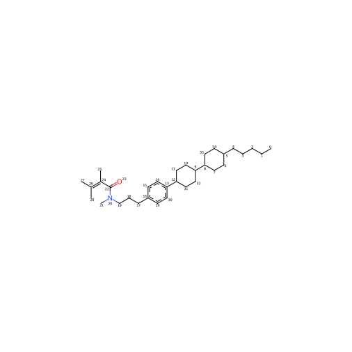 CCCCCC1CCC(C2CCC(c3ccc(CCCN(C)C(=O)C(C)=C(C)C)cc3)CC2)CC1